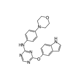 c1nc(Nc2ccc(N3CCOCC3)cc2)nc(Oc2ccc3[nH]ccc3c2)n1